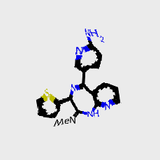 CNC1Nc2ncccc2C(c2ccc(N)nc2)=NC1c1cccs1